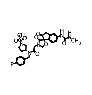 CNC(=O)Nc1ccc2c(c1)CC(=O)[C@]21OCN(CC(=O)N(Cc2ccc(F)cc2)[C@@H]2CCN(S(C)(=O)=O)C2)C1=O